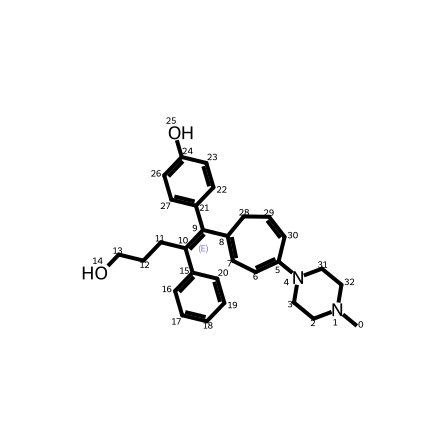 CN1CCN(C2=CC=C(/C(=C(/CCCO)c3ccccc3)c3ccc(O)cc3)CC=C2)CC1